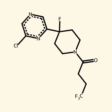 O=C(CCC(F)(F)F)N1CCC(F)(c2cncc(Cl)n2)CC1